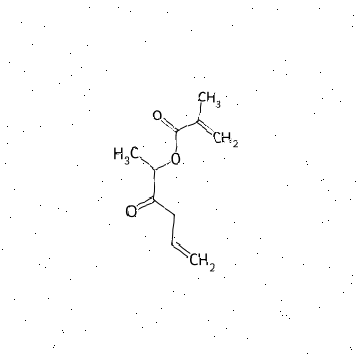 C=CCC(=O)C(C)OC(=O)C(=C)C